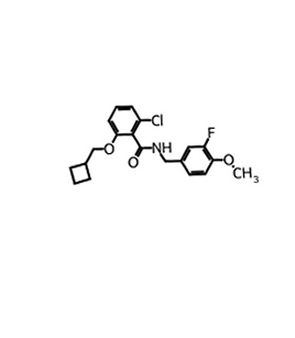 COc1ccc(CNC(=O)c2c(Cl)cccc2OCC2CCC2)cc1F